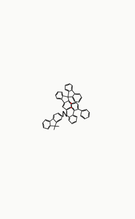 CC1(C)c2ccccc2-c2ccc(N(c3ccc4c(c3)-c3ccccc3C43c4ccccc4-c4ccccc43)c3ccccc3-c3ccccc3-c3ccccc3)cc21